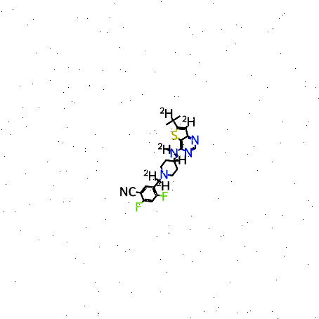 [2H]c1c(C([2H])(C)C)sc2c(N([2H])C3([2H])CCN(C([2H])([2H])c4cc(C#N)c(F)cc4F)CC3)ncnc12